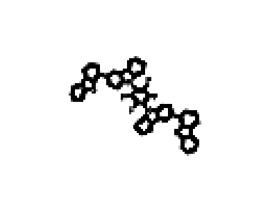 Fc1c(F)c(-n2c3ccccc3c3cc(-c4cccc5c4sc4ccccc45)ccc32)c(F)c(F)c1-n1c2ccccc2c2cc(-c3cccc4c3sc3ccccc34)ccc21